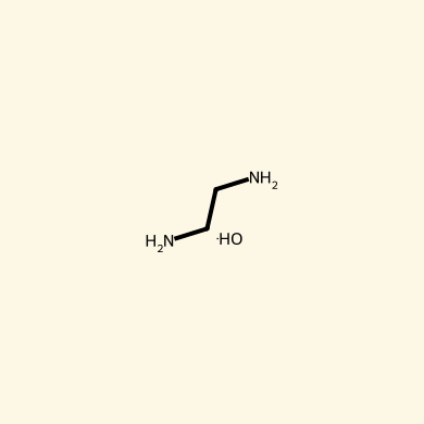 NCCN.[OH]